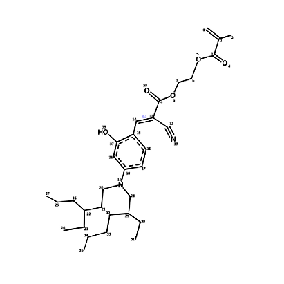 C=C(C)C(=O)OCCOC(=O)/C(C#N)=C/c1ccc(N(CCC(CC)CCC)CC(CC)CCCC)cc1O